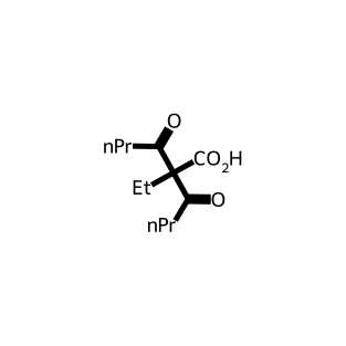 CCCC(=O)C(CC)(C(=O)O)C(=O)CCC